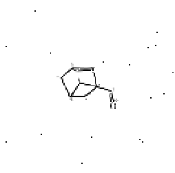 O=CC12C=CCC(C1)C2